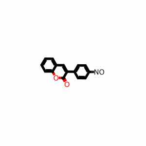 O=Nc1ccc(-c2cc3ccccc3oc2=O)cc1